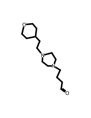 O=[C]CCCN1CCN(CCC2CCOCC2)CC1